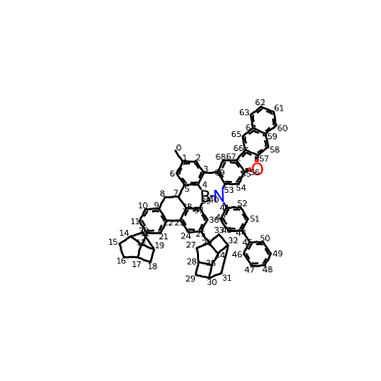 Cc1cc2c3c(c1)C1Cc4ccc(C56C7CCC5CC6C7)cc4-c4cc(C56CC7CC8CC(C5)C6C87)cc(c41)B3N(c1ccc(-c3ccccc3)cc1)c1cc3oc4cc5ccccc5cc4c3cc1-2